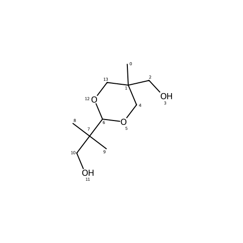 CC1(CO)COC(C(C)(C)CO)OC1